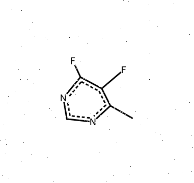 Cc1ncnc(F)c1F